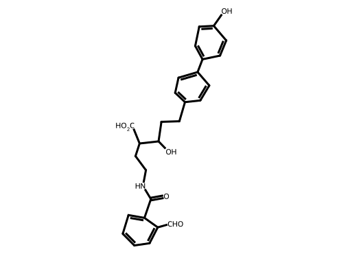 O=Cc1ccccc1C(=O)NCCC(C(=O)O)C(O)CCc1ccc(-c2ccc(O)cc2)cc1